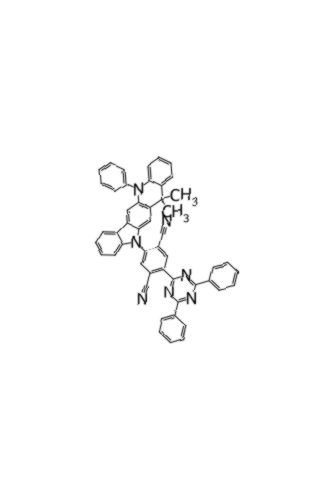 CC1(C)c2ccccc2N(c2ccccc2)c2cc3c4ccccc4n(-c4cc(C#N)c(-c5nc(-c6ccccc6)nc(-c6ccccc6)n5)cc4C#N)c3cc21